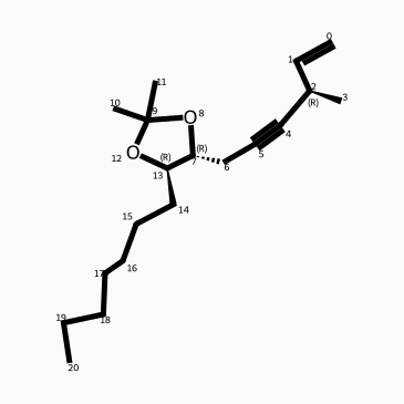 C=C[C@@H](C)C#CC[C@H]1OC(C)(C)O[C@@H]1CCCCCCC